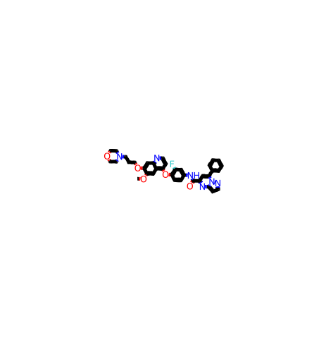 COc1cc2c(Oc3ccc(NC(=O)c4cc(-c5ccccc5)n5nccc5n4)cc3F)ccnc2cc1OCCCN1CCOCC1